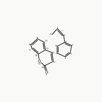 C/C=C\c1ccccc1.O=c1ccc2ccccc2o1